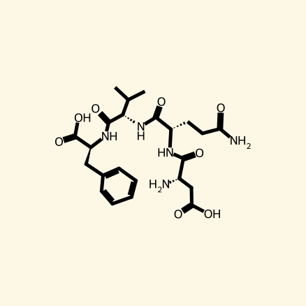 CC(C)[C@H](NC(=O)[C@H](CCC(N)=O)NC(=O)[C@@H](N)CC(=O)O)C(=O)N[C@@H](Cc1ccccc1)C(=O)O